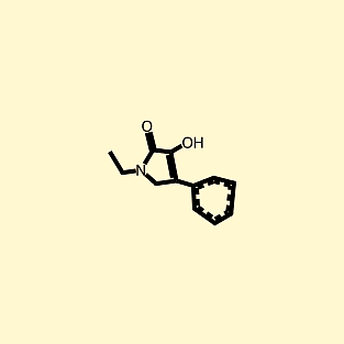 CCN1CC(c2ccccc2)=C(O)C1=O